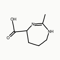 CC1=NC(C(=O)O)CCCN1